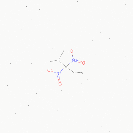 CCC(C(C)C)([N+](=O)[O-])[N+](=O)[O-]